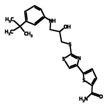 CC(C)(C)c1cccc(NCC(O)CSc2nc(-c3ccc(C(N)=O)s3)cs2)c1